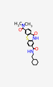 CN(C)C(=O)c1ccc2c(c1)Sc1ccc(C(=O)NCCC3CCCCC3)cc1NC2=O